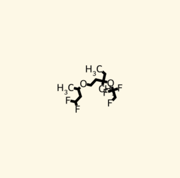 CCC(C)(CCOC(C)CC(F)F)OC(F)(F)CF